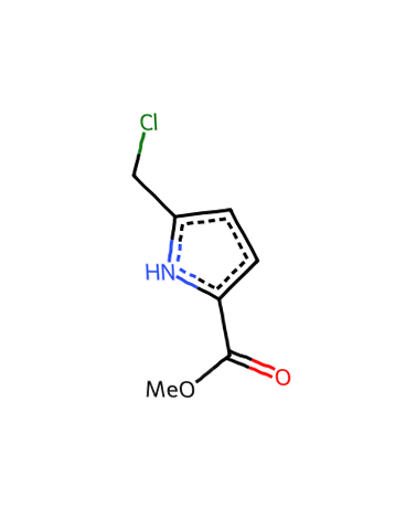 COC(=O)c1ccc(CCl)[nH]1